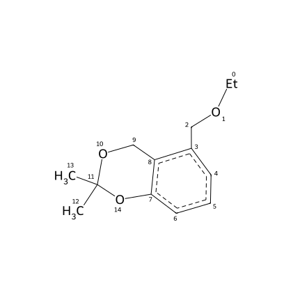 CCOCc1cccc2c1COC(C)(C)O2